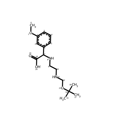 COc1cccc(C(NCCNCOC(C)(C)C)C(=O)O)c1